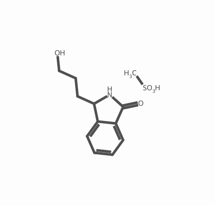 CS(=O)(=O)O.O=C1NC(CCCO)c2ccccc21